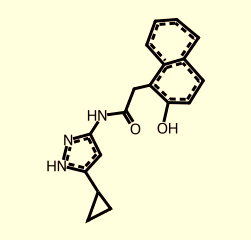 O=C(Cc1c(O)ccc2ccccc12)Nc1cc(C2CC2)[nH]n1